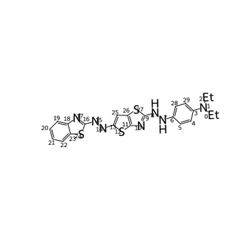 CCN(CC)c1ccc(NNc2nc3sc(N=Nc4nc5ccccc5s4)cc3s2)cc1